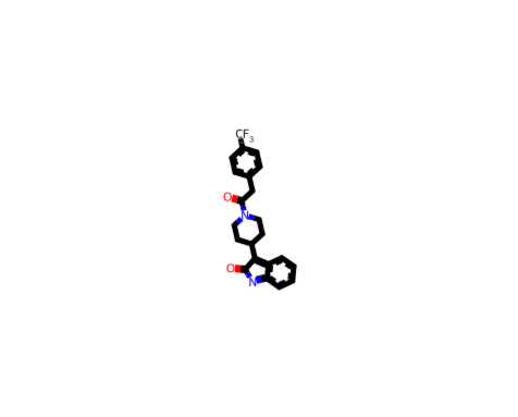 O=C1N=c2ccccc2=C1C1CCN(C(=O)Cc2ccc(C(F)(F)F)cc2)CC1